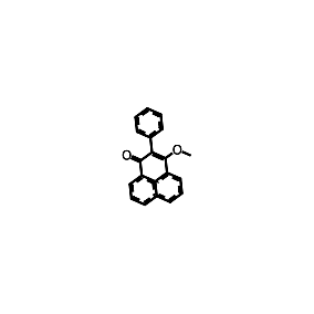 COC1=C(c2ccccc2)C(=O)c2cccc3cccc1c23